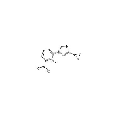 Cc1c(C(=O)Cl)cccc1-n1cnc(C2CC2)c1